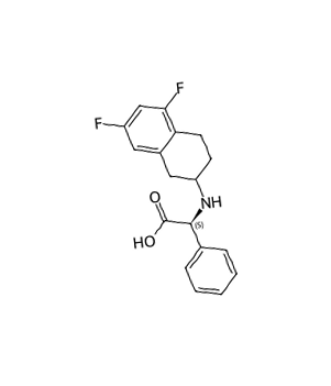 O=C(O)[C@@H](NC1CCc2c(F)cc(F)cc2C1)c1ccccc1